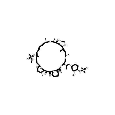 CO[C@@H]1C[C@H](CC(C)[C@@H]2CC[C@H](C)/C=C(\C)[C@@H](O)[C@@H](OC)C(=O)[C@H](C)C[C@H](C)/C=C/C=C/C=C(\C)[C@@H](N(C)S(C)(=O)=O)C[C@@H]3CC[C@@H](C)[C@@](O)(O3)C(=O)C(=O)N3CCCC[C@H]3C(=O)O2)CC[C@H]1OP(C)(C)=O